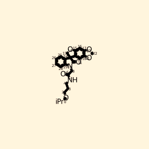 CC(C)OCCCNC(=O)CN1C(=O)C2(COc3cc4c(cc32)OCO4)c2ccccc21